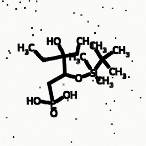 CCC(O)(CC)C(CP(=O)(O)O)O[Si](C)(C)C(C)(C)C